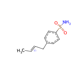 C/C=C/Cc1ccc(S(N)(=O)=O)cc1